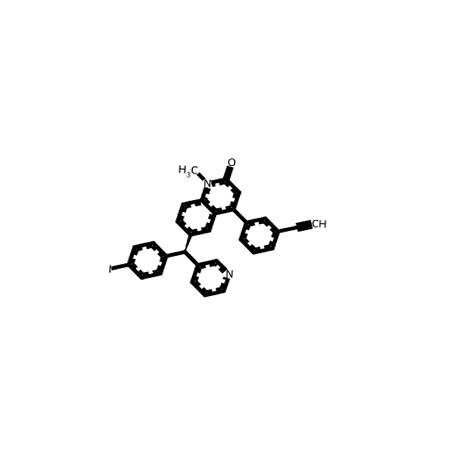 C#Cc1cccc(-c2cc(=O)n(C)c3ccc([C@H](c4ccc(I)cc4)c4cccnc4)cc23)c1